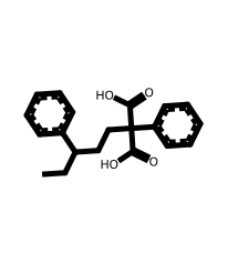 CCC(CCC(C(=O)O)(C(=O)O)c1ccccc1)c1ccccc1